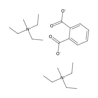 CC[N+](C)(CC)CC.CC[N+](C)(CC)CC.O=C([O-])c1ccccc1C(=O)[O-]